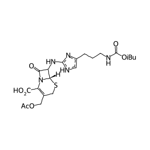 CC(=O)OCC1=C(C(=O)O)N2C(=O)C(Nc3nc(CCCNC(=O)OCC(C)C)c[nH]3)[C@@H]2SC1